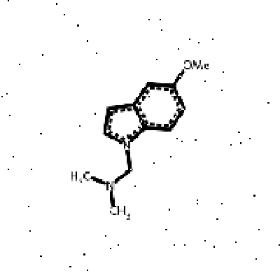 COc1ccc2c(ccn2CN(C)C)c1